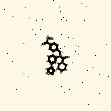 COC(=O)c1ccc(CN(C(=O)N2CCOCC2)c2cccc(-c3ccoc3)c2)cc1